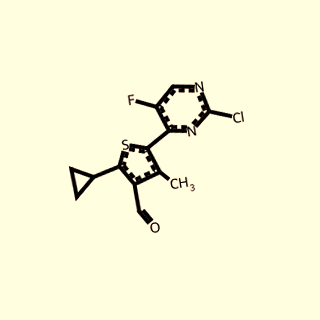 Cc1c(-c2nc(Cl)ncc2F)sc(C2CC2)c1C=O